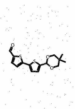 CC1(C)COC(c2ccc(-c3ccc(C=O)s3)s2)OC1